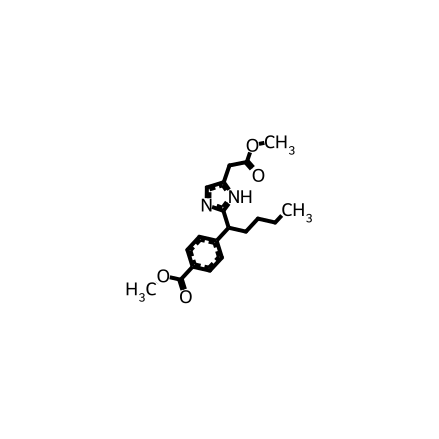 CCCCC(c1ccc(C(=O)OC)cc1)c1ncc(CC(=O)OC)[nH]1